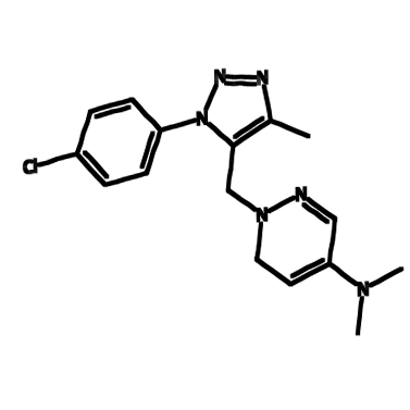 Cc1nnn(-c2ccc(Cl)cc2)c1CN1CC=C(N(C)C)C=N1